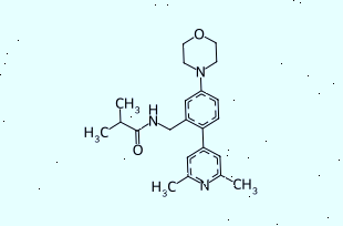 Cc1cc(-c2ccc(N3CCOCC3)cc2CNC(=O)C(C)C)cc(C)n1